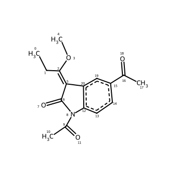 CCC(OC)=C1C(=O)N(C(C)=O)c2ccc(C(C)=O)cc21